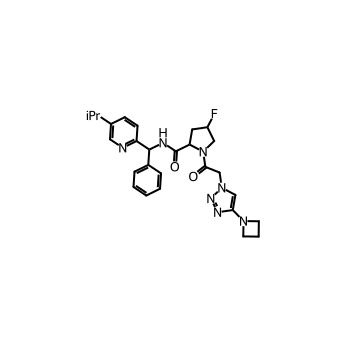 CC(C)c1ccc(C(NC(=O)C2CC(F)CN2C(=O)Cn2cc(N3CCC3)nn2)c2ccccc2)nc1